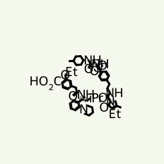 CCC1=C(C)CN(C(=O)NCCc2ccc(S(=O)(=O)NC(=O)NC3CCC(C)CC3)cc2)C1=O.CCOc1cc(CC(=O)N[C@@H](CC(C)C)c2ccccc2N2CCCCC2)ccc1C(=O)O